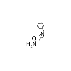 NC(=O)CC1CN(Cc2ccccc2)C1